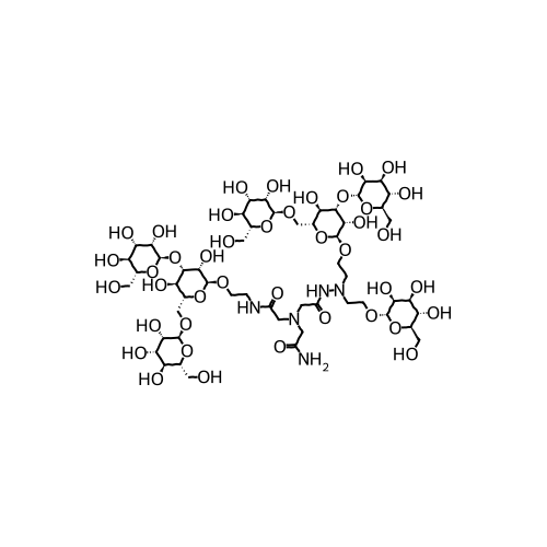 NC(=O)CN(CC(=O)NCCO[C@H]1O[C@H](CO[C@H]2O[C@H](CO)[C@@H](O)[C@H](O)[C@@H]2O)[C@@H](O)[C@H](O[C@H]2O[C@H](CO)[C@@H](O)[C@H](O)[C@@H]2O)[C@@H]1O)CC(=O)NN(CCO[C@H]1O[C@H](CO)[C@@H](O)[C@H](O)[C@@H]1O)CCO[C@H]1O[C@H](CO[C@H]2O[C@H](CO)[C@@H](O)[C@H](O)[C@@H]2O)[C@@H](O)[C@H](O[C@H]2O[C@H](CO)[C@@H](O)[C@H](O)[C@@H]2O)[C@@H]1O